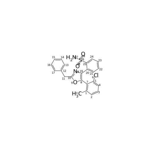 Cc1cccc(Cl)c1-c1oc(Cc2ccccc2)nc1-c1ccccc1S(N)(=O)=O